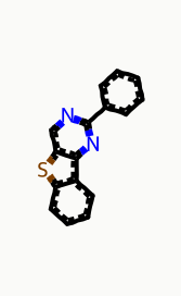 c1ccc(-c2ncc3sc4ccccc4c3n2)cc1